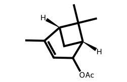 CC(=O)OC1C=C(C)[C@H]2C[C@@H]1C2(C)C